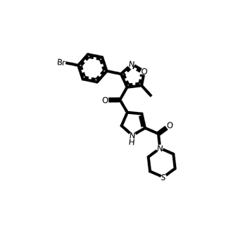 Cc1onc(-c2ccc(Br)cc2)c1C(=O)C1C=C(C(=O)N2CCSCC2)NC1